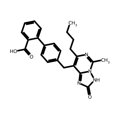 CCCCc1nc(C)n2[nH]c(=O)nc2c1Cc1ccc(-c2ccccc2C(=O)O)cc1